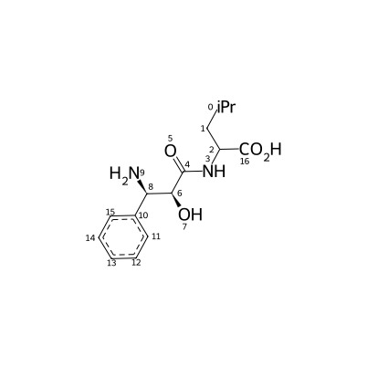 CC(C)CC(NC(=O)[C@@H](O)[C@H](N)c1ccccc1)C(=O)O